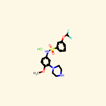 COc1ccc(NS(=O)(=O)c2cccc(OC(F)F)c2)cc1N1CCNCC1.Cl